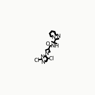 CC(C)(NC(=O)C1CN(c2nc(Cl)ncc2Cl)C1)c1cnc2ccccn12